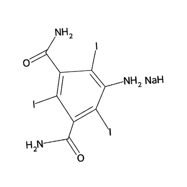 NC(=O)c1c(I)c(N)c(I)c(C(N)=O)c1I.[NaH]